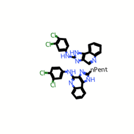 CCCCCc1nc2c(Nc3ccc(Cl)c(Cl)c3)nc3ccccc3c2[nH]1.Clc1ccc(Nc2nc3cnc4ccccc4c3[nH]2)cc1Cl